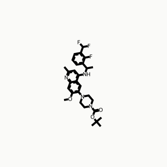 COc1cc2nc(C)cc(NC(C)c3cccc(C(F)F)c3F)c2cc1N1CCN(C(=O)OC(C)(C)C)CC1